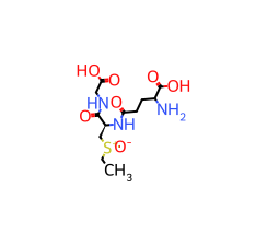 CC[S+]([O-])C[C@H](NC(=O)CCC(N)C(=O)O)C(=O)NCC(=O)O